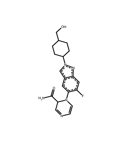 NC(=O)C1C=NC=CN1c1cc2cn(C3CCC(CO)CC3)nc2cc1F